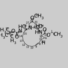 CCOC(=O)[C@@]12C[C@H]1/C=C\CCCCC[C@H](NC(=O)OC(C)(C)C)C(=O)N1C[C@H](OC)C[C@H]1C(=O)N2